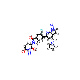 O=C1CCC(N2Cc3cc(-c4cc(CN5CCCC5)c5cc[nH]c5n4)c(F)cc3C2=O)C(=O)N1